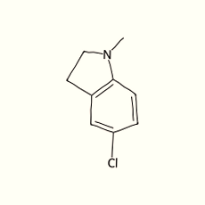 CN1CCc2cc(Cl)ccc21